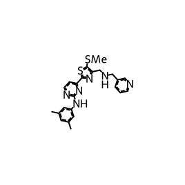 CSc1sc(-c2ccnc(Nc3cc(C)cc(C)c3)n2)nc1CNCc1cccnc1